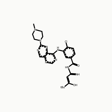 CN1CCN(c2ncc3ncnc(Nc4cc(C(=O)NC(=N)/C=C(\O)C(C)(C)C)ccc4Cl)c3n2)CC1